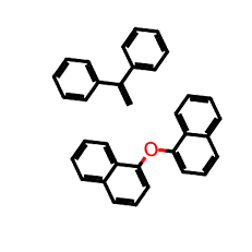 C=C(c1ccccc1)c1ccccc1.c1ccc2c(Oc3cccc4ccccc34)cccc2c1